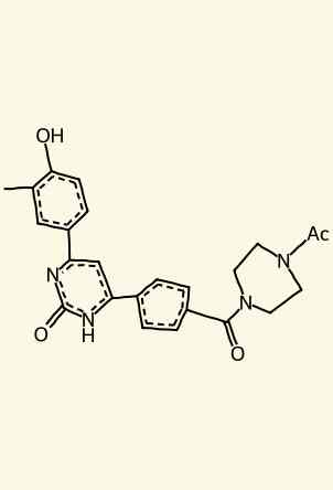 CC(=O)N1CCN(C(=O)c2ccc(-c3cc(-c4ccc(O)c(C)c4)nc(=O)[nH]3)cc2)CC1